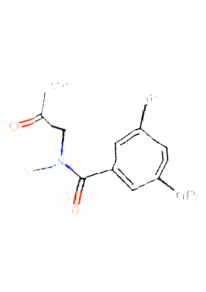 CCCc1cc(C(=O)N(CC(=O)OC)C(C)C)cc(C(C)C)c1